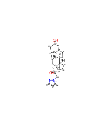 C[C@]12CC[C@H]3[C@@H](CCC4CC(O)CC[C@@]43C)[C@@H]1CC[C@@H]2C(=O)Cn1cccn1